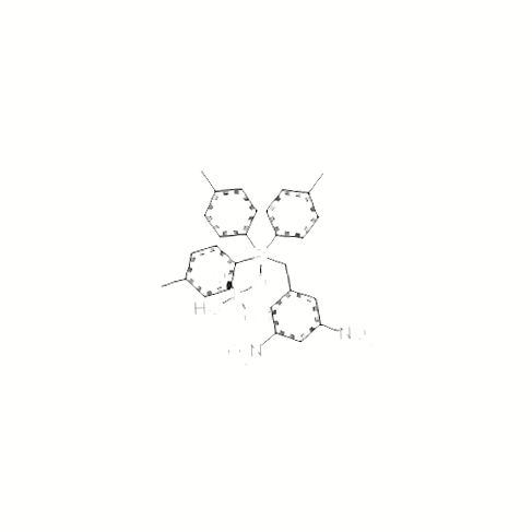 Cc1ccc(P(Cc2cc([N+](=O)[O-])cc([N+](=O)[O-])c2)(OP(=O)(O)O)(c2ccc(C)cc2)c2ccc(C)cc2)cc1